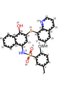 COc1ccc(C)cc1S(=O)(=O)Nc1cc(Sc2cccc3cccnc23)c(O)c2ccccc12